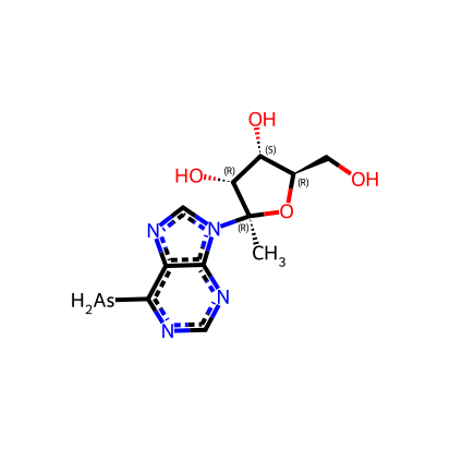 C[C@@]1(n2cnc3c([AsH2])ncnc32)O[C@H](CO)[C@@H](O)[C@H]1O